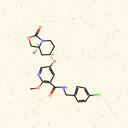 COc1ncc(O[C@H]2CCN3C(=O)OC[C@@H]3C2)cc1C(=O)NCc1ccc(Cl)cc1